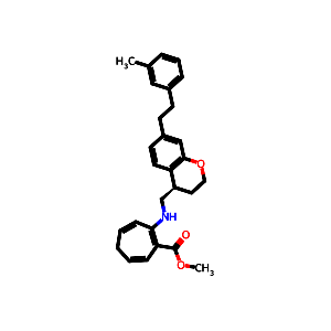 COC(=O)C1=C(NC[C@@H]2CCOc3cc(CCc4cccc(C)c4)ccc32)C=CCC=C1